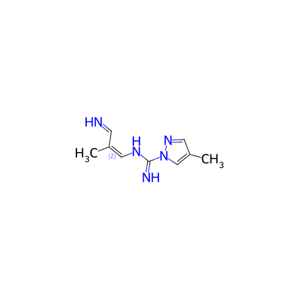 C/C(C=N)=C/NC(=N)n1cc(C)cn1